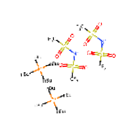 CCCC[P+](CCCC)(CCCC)CCCC.CCCC[P+](CCCC)(CCCC)CCCC.O=S(=O)([N-]S(=O)(=O)C(F)(F)F)C(F)(F)F.O=S(=O)([N-]S(=O)(=O)C(F)(F)F)C(F)(F)F